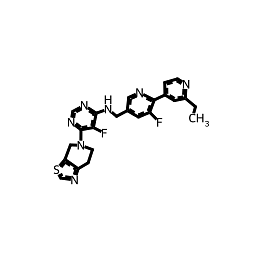 CCc1cc(-c2ncc(CNc3ncnc(N4CCc5ncsc5C4)c3F)cc2F)ccn1